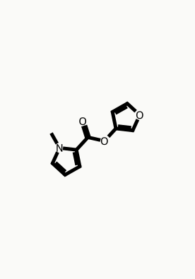 Cn1cccc1C(=O)Oc1ccoc1